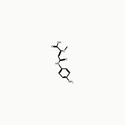 CO/C(=C\C(=O)Nc1ccc(N)cc1)C(=O)O